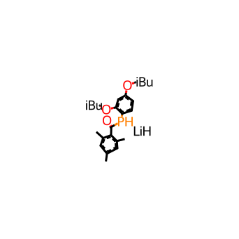 CCC(C)Oc1ccc(PC(=O)c2c(C)cc(C)cc2C)c(OC(C)CC)c1.[LiH]